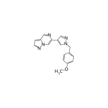 COc1ccc(Cn2cc(-c3cn4nccc4cn3)cn2)cc1